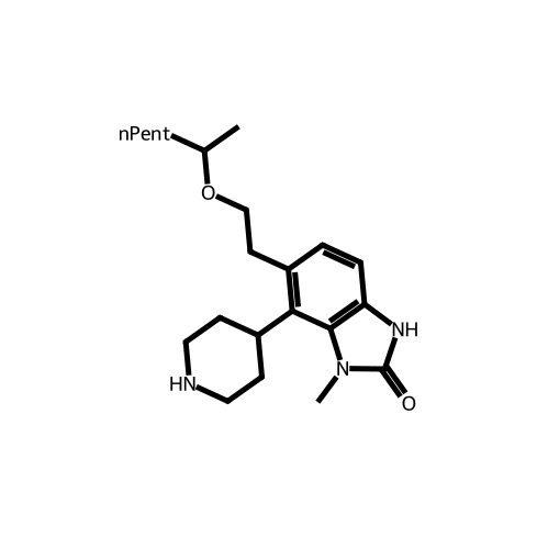 CCCCCC(C)OCCc1ccc2[nH]c(=O)n(C)c2c1C1CCNCC1